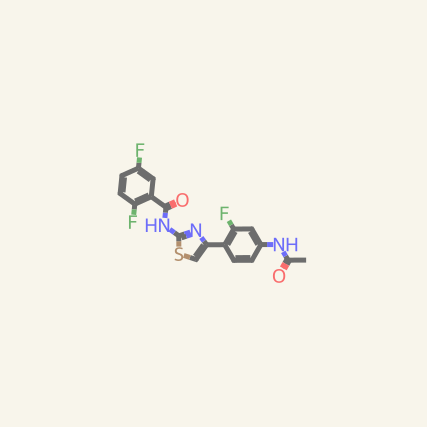 CC(=O)Nc1ccc(-c2csc(NC(=O)c3cc(F)ccc3F)n2)c(F)c1